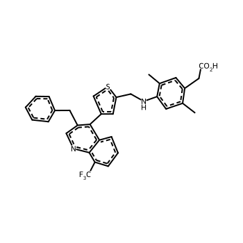 Cc1cc(NCc2cc(-c3c(Cc4ccccc4)cnc4c(C(F)(F)F)cccc34)cs2)c(C)cc1CC(=O)O